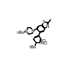 CCCCN1CCN(c2cc3sc(C)nc3cc2C2=CCC(C(C)(C)C)CC2)CC1.Cl.Cl